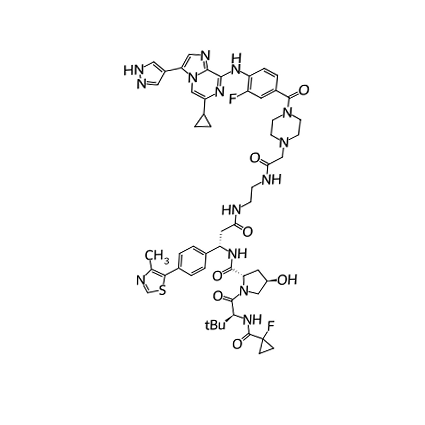 Cc1ncsc1-c1ccc([C@H](CC(=O)NCCNC(=O)CN2CCN(C(=O)c3ccc(Nc4nc(C5CC5)cn5c(-c6cn[nH]c6)cnc45)c(F)c3)CC2)NC(=O)[C@@H]2C[C@@H](O)CN2C(=O)[C@@H](NC(=O)C2(F)CC2)C(C)(C)C)cc1